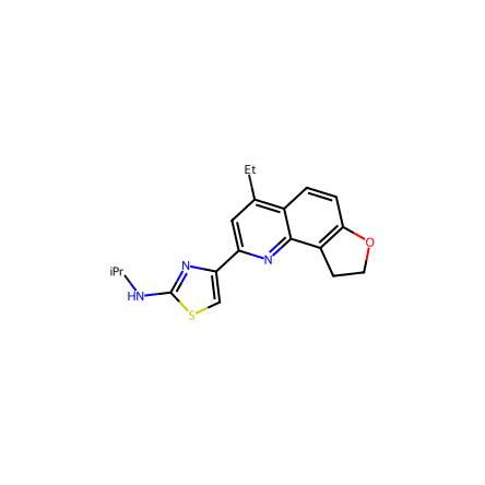 CCc1cc(-c2csc(NC(C)C)n2)nc2c3c(ccc12)OCC3